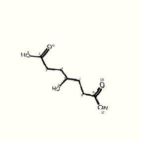 O=C(O)CCC(O)CCC(=O)O